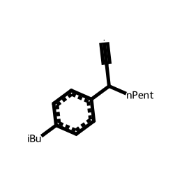 [C]#CC(CCCCC)c1ccc(C(C)CC)cc1